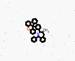 C=C1Cc2ccccc2C(c2ccccc2)=NC1c1cccc(C2(c3ccccc3)c3ccccc3Oc3ccccc32)c1